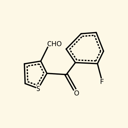 O=Cc1ccsc1C(=O)c1ccccc1F